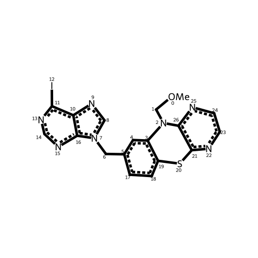 COCN1c2cc(Cn3cnc4c(I)ncnc43)ccc2Sc2nccnc21